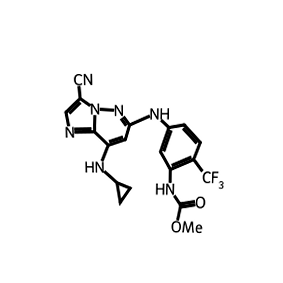 COC(=O)Nc1cc(Nc2cc(NC3CC3)c3ncc(C#N)n3n2)ccc1C(F)(F)F